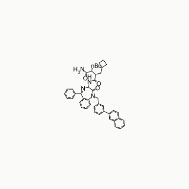 CCCC[C@H](C(N)=O)[C@@H](CC1CCC1)C(=O)NC1N=C(c2ccccc2)c2ccccc2N(Cc2cccc(-c3ccc4ccccc4c3)c2)C1=O